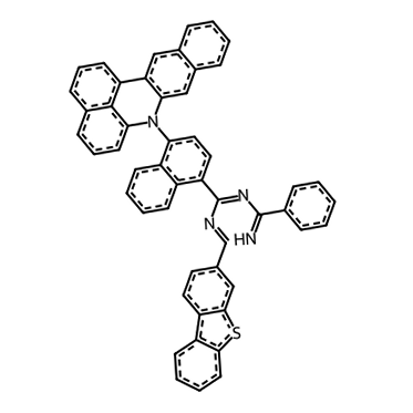 N=C(/N=C(\N=C\c1ccc2c(c1)sc1ccccc12)c1ccc(N2c3cc4ccccc4cc3-c3cccc4cccc2c34)c2ccccc12)c1ccccc1